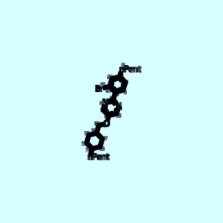 CCCCCc1ccc(-c2ncc(OCC3CCC(CCCCC)CC3)cn2)c(Br)c1